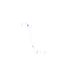 CCCCCCCCC=CCCCCCCCCNN